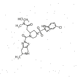 CC1Cc2nc(C(=O)N3CCN(S(=O)(=O)c4cc5cc(Cl)ccc5[nH]4)CC3CC(=O)N(C)C)sc2CN1.Cl